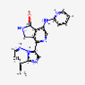 C=Cc1ncc(-c2ncc(Nc3ccccn3)c3c2CNC3=O)n1/N=C\C